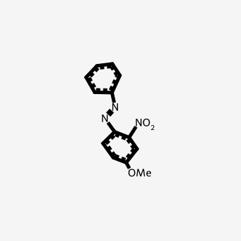 COc1ccc(N=Nc2ccccc2)c([N+](=O)[O-])c1